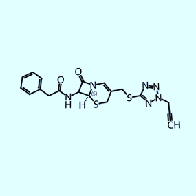 C#CCn1nnc(SCC2=CN3C(=O)C(NC(=O)Cc4ccccc4)[C@@H]3SC2)n1